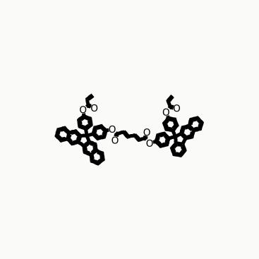 C=CC(=O)Oc1ccc(C2(c3ccc(OC(=O)/C=C/C=C/C(=O)Oc4ccc(C5(c6ccc(OC(=O)C=C)cc6)c6cc7ccccc7cc6-c6cc7ccccc7cc65)cc4)cc3)c3ccccc3-c3cc4ccccc4cc32)cc1